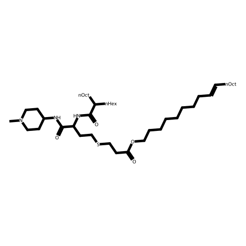 CCCCCCCCC=CCCCCCCCCOC(=O)CCSCCC(NC(=O)C(CCCCCC)CCCCCCCC)C(=O)NC1CCN(C)CC1